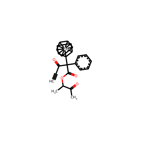 C#CC(=O)C(C(=O)OC(C)C(C)=O)(c1ccccc1)[C]12[CH]3[CH]4[CH]5[CH]1[Fe]45321678[CH]2[CH]1[CH]6[CH]7[CH]28